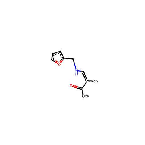 CC(C)COC(=O)C(C#N)=CNCc1ccco1